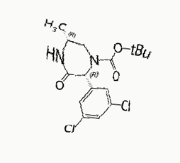 C[C@@H]1CN(C(=O)OC(C)(C)C)[C@H](c2cc(Cl)cc(Cl)c2)C(=O)N1